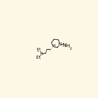 CCN(CC)CCC[C@@H]1CCCN(N)C1